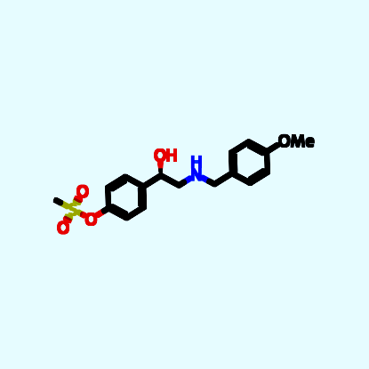 COc1ccc(CNC[C@H](O)c2ccc(OS(C)(=O)=O)cc2)cc1